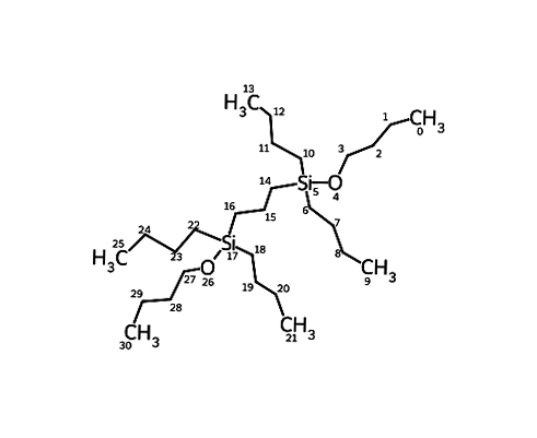 CCCCO[Si](CCCC)(CCCC)CCC[Si](CCCC)(CCCC)OCCCC